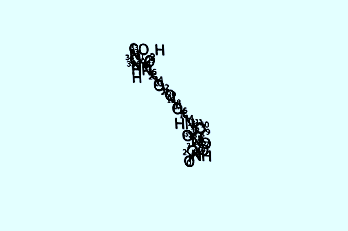 O=C1CCC(N2C(=O)c3cccc(NCCCOCCOCCOCCCNC(=O)C4CN(C(=O)O)CCN4)c3C2=O)C(=O)N1